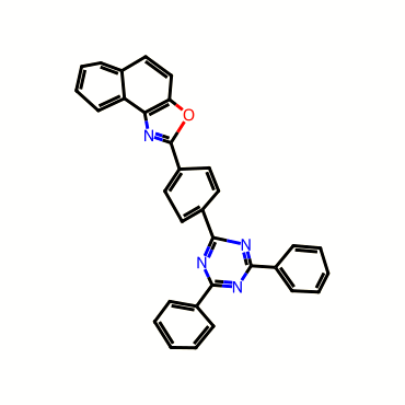 c1ccc(-c2nc(-c3ccccc3)nc(-c3ccc(-c4nc5c(ccc6ccccc65)o4)cc3)n2)cc1